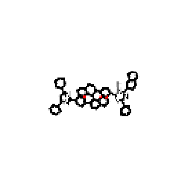 c1ccc(C2=NC(c3ccc4ccccc4c3)NC(c3ccc(-c4ccc5ccccc5c4-c4c(-c5ccc(-c6nc(-c7ccccc7)cc(-c7ccccc7)n6)cc5)ccc5ccccc45)cc3)=N2)cc1